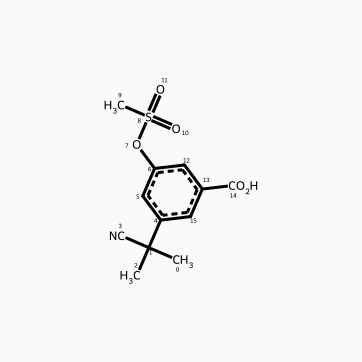 CC(C)(C#N)c1cc(OS(C)(=O)=O)cc(C(=O)O)c1